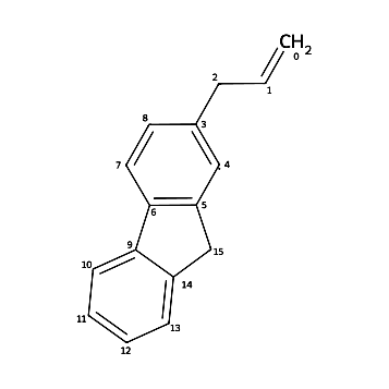 C=CCc1[c]c2c(cc1)-c1ccccc1C2